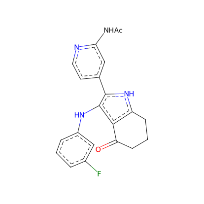 CC(=O)Nc1cc(-c2[nH]c3c(c2Nc2cccc(F)c2)C(=O)CCC3)ccn1